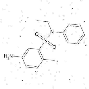 CCN(c1ccccc1)S(=O)(=O)c1cc(N)ccc1C